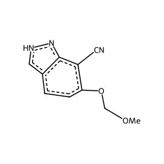 COCOc1ccc2c[nH]nc2c1C#N